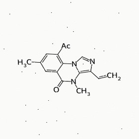 C=Cc1ncn2c3c(C(C)=O)cc(C)cc3c(=O)n(C)c12